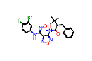 CC(C)(C)C(Cc1ccccc1)C(=O)Nc1nonc1/C(=N\O)Nc1ccc(F)c(Br)c1